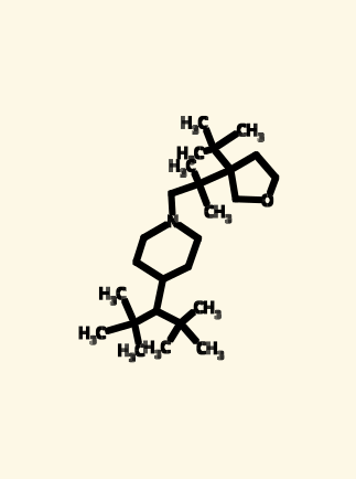 CC(C)(C)C(C1CCN(CC(C)(C)C2(C(C)(C)C)CCOC2)CC1)C(C)(C)C